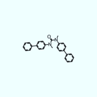 CN(C(=O)N(C)c1ccc(-c2ccccc2)cc1)c1ccc(-c2ccccc2)cc1